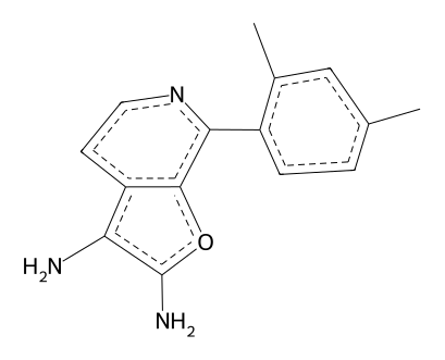 Cc1ccc(-c2nccc3c(N)c(N)oc23)c(C)c1